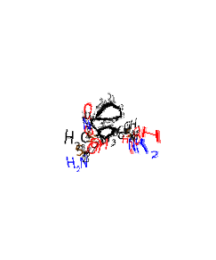 C.C=CC.CS(=O)(=O)c1ccccc1-c1ncoc1-c1ccccc1.NC(O)=S.NC(O)=S.O